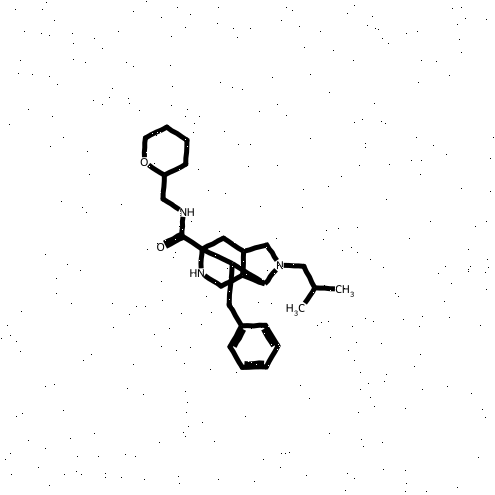 CC(C)CN1CC2CC3(C(=O)NCC4CCCCO4)NCC2C1C3Cc1ccccc1